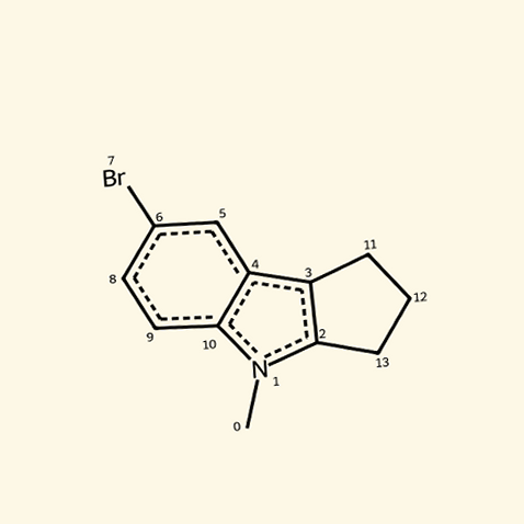 Cn1c2c(c3cc(Br)ccc31)CCC2